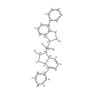 CC1Cc2c(-c3ccccc3)cccc2C1[Si](C)(C)C1C(C)CC2C(c3ccccc3)=CC=CC21